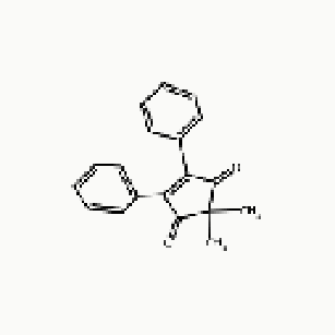 CC1(C)C(=O)C(c2ccccc2)=C(c2ccccc2)C1=O